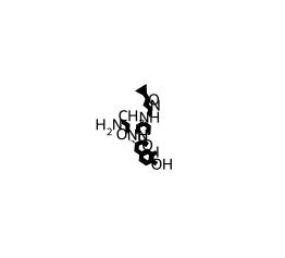 C[C@@H](N)CC(=O)NC[C@@H](Cc1ccc(O)c(I)c1)C(=O)N1CCC(NCc2cc(C3CC3)on2)CC1